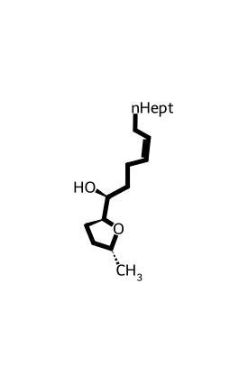 CCCCCCCC/C=C\CC[C@H](O)[C@@H]1CC[C@@H](C)O1